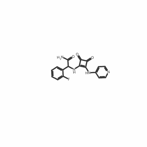 NC(=O)C(Nc1c(Nc2ccncc2)c(=O)c1=O)c1ccccc1F